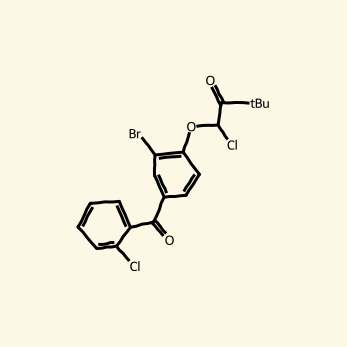 CC(C)(C)C(=O)C(Cl)Oc1ccc(C(=O)c2ccccc2Cl)cc1Br